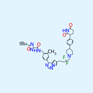 Cc1cc(-c2ncnn3cc(CCC(F)(F)CN4CCC(c5ccc(C6CCC(=O)NC6=O)cc5)CC4)cc23)ccc1CNC(=O)c1noc(C(C)(C)C)n1